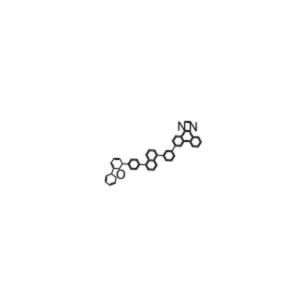 C1=CC2OC3C(=CC=CC3c3ccc(-c4cccc5c(-c6cccc(-c7ccc8c(c7)c7ccccc7c7nccnc87)c6)cccc45)cc3)C2C=C1